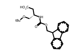 CC(C)(C)OC[C@H](CC(=O)O)NC(=O)OCC1c2ccccc2-c2ccccc21